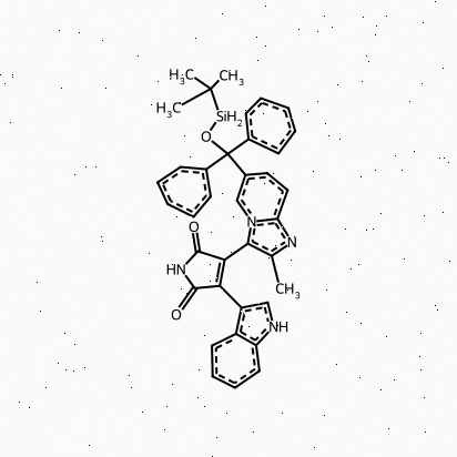 Cc1nc2ccc(C(O[SiH2]C(C)(C)C)(c3ccccc3)c3ccccc3)cn2c1C1=C(c2c[nH]c3ccccc23)C(=O)NC1=O